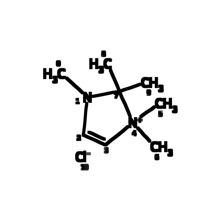 CN1C=C[N+](C)(C)C1(C)C.[Cl-]